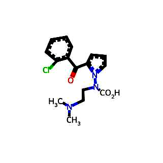 CN(C)CCN(C(=O)O)n1cccc1C(=O)c1ccccc1Cl